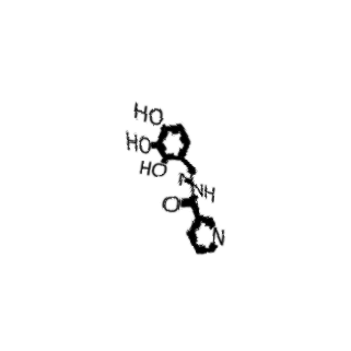 O=C(N/N=C/c1ccc(O)c(O)c1O)c1cccnc1